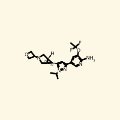 CC(C)n1nc(-c2cnc(N)c(OC(C)(F)F)c2)cc1[C@H]1C2CN(C3COC3)C[C@@H]21